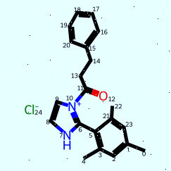 Cc1cc(C)c(-c2[nH]cc[n+]2C(=O)CCc2ccccc2)c(C)c1.[Cl-]